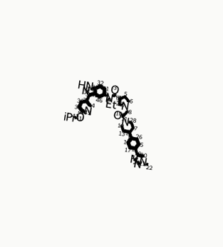 CCN(C(=O)[C@@H]1CCN(CC(=O)N2CC=C(c3ccc(-c4cn(C)nn4)cc3)CC2)C1)c1ccc2[nH]nc(-c3ccc(OC(C)C)nc3)c2c1